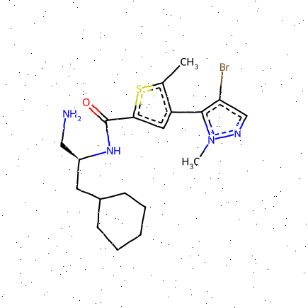 Cc1sc(C(=O)N[C@H](CN)CC2CCCCC2)cc1-c1c(Br)cnn1C